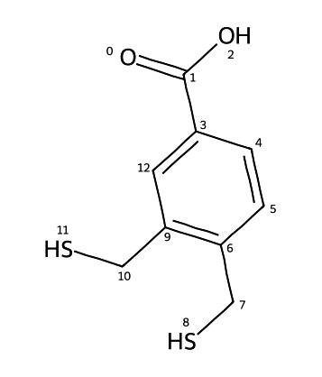 O=C(O)c1ccc(CS)c(CS)c1